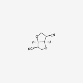 N#C[C@@H]1CO[C@H]2[C@@H]1OC[C@H]2C#N